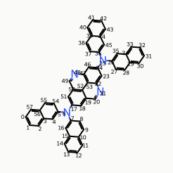 c1ccc2cc(N(c3ccc4ccccc4c3)c3cc4cnc5cc(N(c6ccc7ccccc7c6)c6ccc7ccccc7c6)cc6ncc(c3)c4c56)ccc2c1